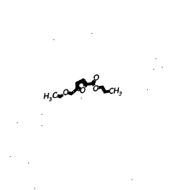 CCCOC(=O)c1ccc(COCC)o1